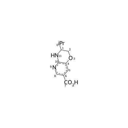 CC(C)C1COc2cc(C(=O)O)cnc2N1